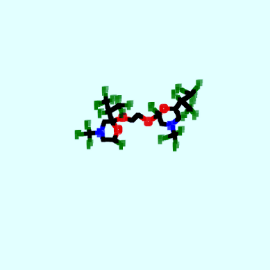 FC1CN(C(F)(F)F)CC(OCCOC2(F)CN(C(F)(F)F)CC(C(F)(C(F)(F)F)C(F)(F)F)O2)(C(F)(C(F)(F)F)C(F)(F)F)O1